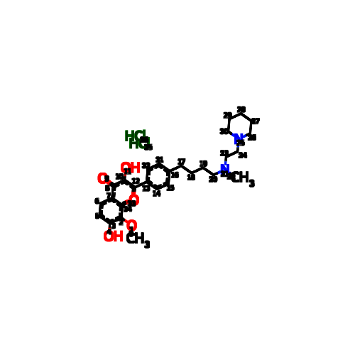 COc1c(O)ccc2c(=O)c(O)c(-c3ccc(CCCCN(C)CCN4CCCCC4)cc3)oc12.Cl.Cl